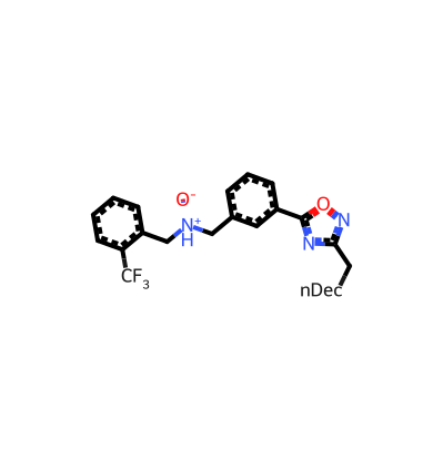 CCCCCCCCCCCc1noc(-c2cccc(C[NH+]([O-])Cc3ccccc3C(F)(F)F)c2)n1